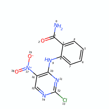 NC(=O)c1ccccc1Nc1nc(Cl)ncc1[N+](=O)[O-]